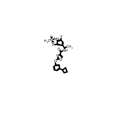 CC(NC(=O)c1coc(Oc2cccc(C3CCC3)c2)n1)c1cc(F)c(NS(C)(=O)=O)c(F)c1